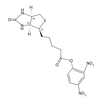 O=C1N[C@H]2[C@H](CS[C@H]2CCCCC(=O)Oc2ccc([N+](=O)[O-])cc2[N+](=O)[O-])N1